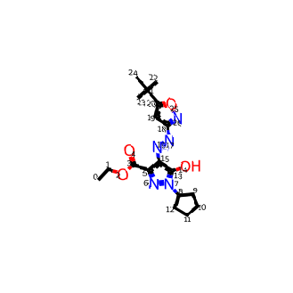 CCOC(=O)c1nn(C2CCCC2)c(O)c1/N=N/c1cc(C(C)(C)C)on1